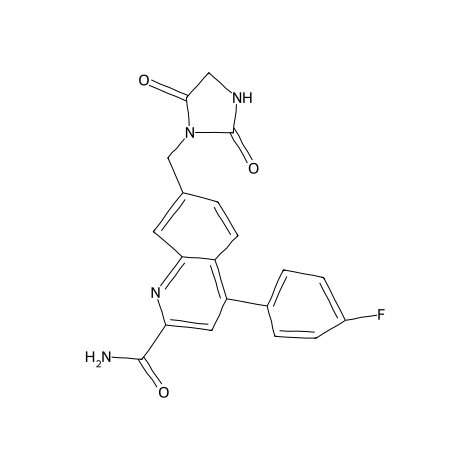 NC(=O)c1cc(-c2ccc(F)cc2)c2ccc(CN3C(=O)CNC3=O)cc2n1